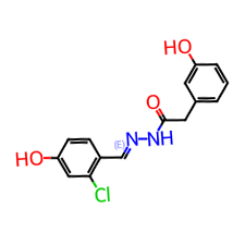 O=C(Cc1cccc(O)c1)N/N=C/c1ccc(O)cc1Cl